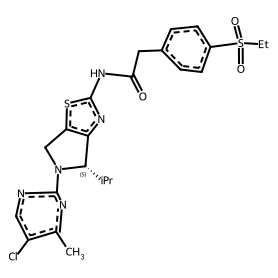 CCS(=O)(=O)c1ccc(CC(=O)Nc2nc3c(s2)CN(c2ncc(Cl)c(C)n2)[C@H]3C(C)C)cc1